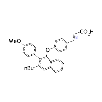 CCCCc1cc2ccccc2c(Oc2ccc(/C=C/C(=O)O)cc2)c1-c1ccc(OC)cc1